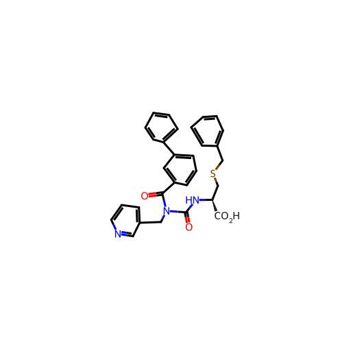 O=C(O)[C@H](CSCc1ccccc1)NC(=O)N(Cc1cccnc1)C(=O)c1cccc(-c2ccccc2)c1